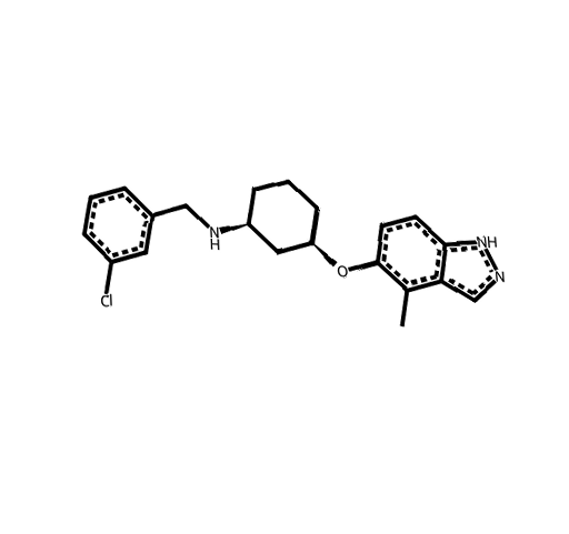 Cc1c(O[C@@H]2CCC[C@H](NCc3cccc(Cl)c3)C2)ccc2[nH]ncc12